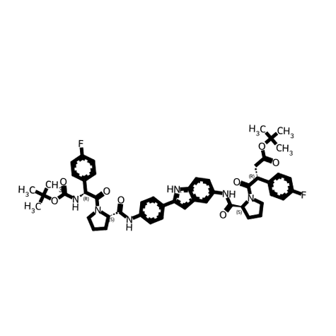 CC(C)(C)OC(=O)C[C@@H](C(=O)N1CCC[C@H]1C(=O)Nc1ccc2[nH]c(-c3ccc(NC(=O)[C@@H]4CCCN4C(=O)[C@H](NC(=O)OC(C)(C)C)c4ccc(F)cc4)cc3)cc2c1)c1ccc(F)cc1